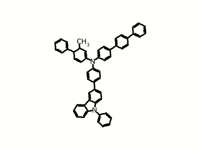 CC1C=C(N(c2ccc(-c3ccc(-c4ccccc4)cc3)cc2)c2ccc(-c3ccc4c(c3)c3ccccc3n4-c3ccccc3)cc2)C=CC1c1ccccc1